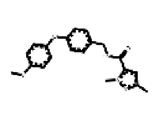 CSc1ccc(Oc2ccc(CNC(=O)c3cc(C)nn3C)cc2)cc1